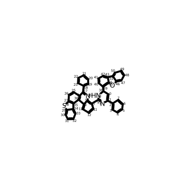 C1=C(c2ccccc2)N=C(c2cccc3c2nc(-c2ccccc2)c2ccc4sc5ccccc5c4c23)NC1c1cccc2c1oc1ccccc12